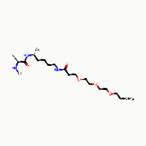 CCN[C@H](C(=O)N[C@@H](CCCCNC(=O)CCOCCOCCOCCOC)C(C)=O)C(C)C